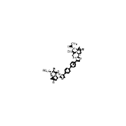 CC[C@H](NC(=O)OC)C(=O)N1[C@@H]2C[C@H]2C[C@H]1c1ncc(C23CCC(c4ccc(-c5cnc([C@@H]6C[C@H]7C[C@H]7N6C(=O)[C@H](CC)N(C)C(=O)O)[nH]5)cc4)(CC2)CC3)[nH]1